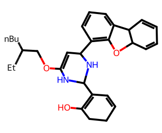 CCCCC(CC)COC1=CC(c2cccc3c2OC2C=CC=CC32)NC(C2=C(O)CCC=C2)N1